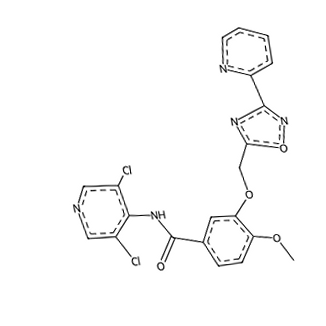 COc1ccc(C(=O)Nc2c(Cl)cncc2Cl)cc1OCc1nc(-c2ccccn2)no1